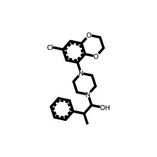 CC(c1ccccc1)C(O)N1CCN(c2cc(Cl)cc3c2OCCO3)CC1